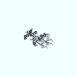 CCNC(=NCCCC[C@H](NC(=O)[C@H](CC(C)C)NC(=O)[C@@H](CCCCN=C(NCC)NCC)NC(=O)[C@@H](Cc1ccc(O)cc1)NC(=O)CC(O)NC(=O)[C@@H](Cc1cccnc1)NC(=O)[C@@H](Cc1ccc(Cl)cc1)NC(=O)[C@@H](Cc1ccc2ccccc2c1)NC(C)=O)C(=O)N1CCC[C@H]1C(=O)N[C@H](C)C(N)=O)NCC